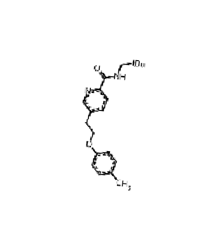 Cc1ccc(OCCc2ccc(C(=O)NCC(C)(C)C)nc2)cc1